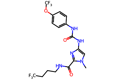 Cn1cc(NC(=O)Nc2ccc(OC(F)(F)F)cc2)nc1C(=O)NCCCC(F)(F)F